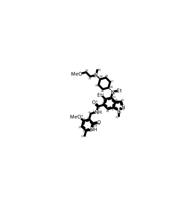 CCc1c(C(=O)NCc2c(OC)cc(C)[nH]c2=O)cc2c(cnn2C)c1N(CC)[C@H]1CC[C@H](N(C)CCOC)CC1